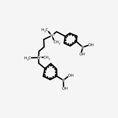 C[N+](C)(CCC[N+](C)(C)Cc1ccc(B(O)O)cc1)Cc1ccc(B(O)O)cc1